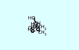 Cc1cc(C)c(C(=O)C(=O)O)c(C)c1.O=C(O)c1ccccc1.OCCCO